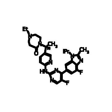 CCN1CCC(=O)N([C@@H](C)c2ccc(Nc3ncc(F)c(-c4cc(F)c5nc(C)n(C(C)C)c5c4)n3)nc2)CC1